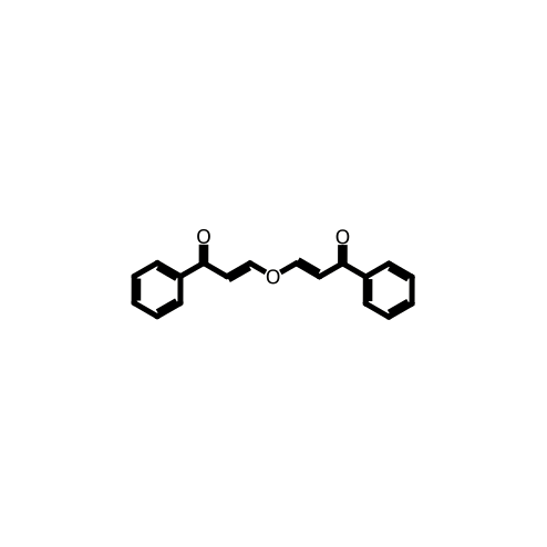 O=C(C=COC=CC(=O)c1ccccc1)c1ccccc1